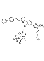 C[n+]1nn(-c2ccc(-c3nc(CCc4ccc(-c5ccccc5)cc4)cs3)c(OCCN3CCNC3=O)c2)cc1CCCCN.O=C(OS(=O)(=O)C(F)(F)F)C(F)(F)F